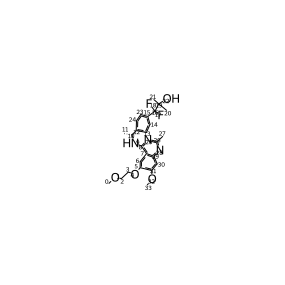 COCCOc1cc2c(N[C@H](C)c3ccc(C(F)(F)C(C)(C)O)cc3)nc(C)nc2cc1OC